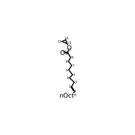 CCCCCCCC/C=C/CCCCCCCC(=O)OC1CC1